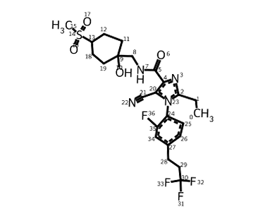 CCc1nc(C(=O)NCC2(O)CCC(S(C)(=O)=O)CC2)c(C#N)n1-c1ccc(CCC(F)(F)F)cc1F